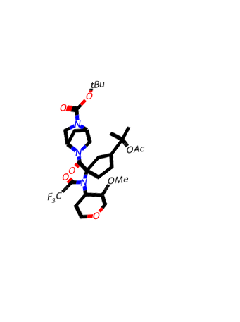 COC1COCCC1N(C(=O)C(F)(F)F)C1(C(=O)N2CC3CC2CN3C(=O)OC(C)(C)C)CCC(C(C)(C)OC(C)=O)C1